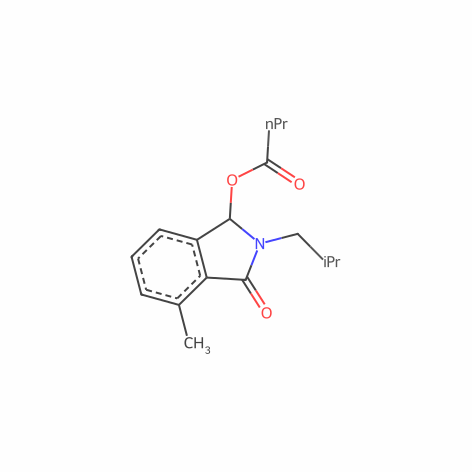 CCCC(=O)OC1c2cccc(C)c2C(=O)N1CC(C)C